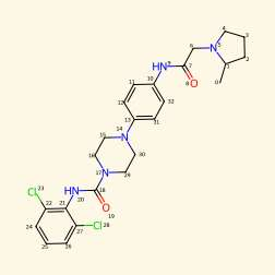 CC1CCCN1CC(=O)Nc1ccc(N2CCN(C(=O)Nc3c(Cl)cccc3Cl)CC2)cc1